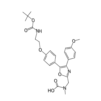 COc1ccc(-c2nc(CN(C)C(=O)O)oc2-c2ccc(OCCNC(=O)OC(C)(C)C)cc2)cc1